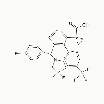 O=C(O)C1(c2cccc(C(c3ccc(F)cc3)N3CCC(F)(F)C3)c2-c2ccc(C(F)(F)F)cc2)CC1